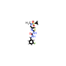 CN(Cc1csc(NC(=O)NCc2cccc(F)c2)n1)S(=O)(=O)C1CC1